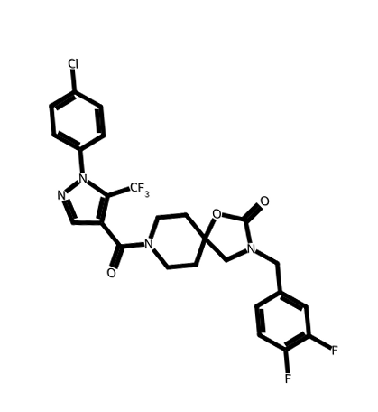 O=C1OC2(CCN(C(=O)c3cnn(-c4ccc(Cl)cc4)c3C(F)(F)F)CC2)CN1Cc1ccc(F)c(F)c1